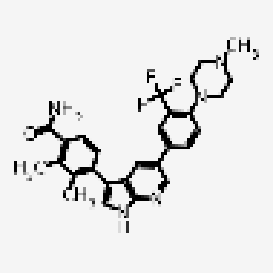 Cc1c(C(N)=O)ccc(-c2c[nH]c3ncc(-c4ccc(N5CCN(C)CC5)c(C(F)(F)F)c4)cc23)c1C